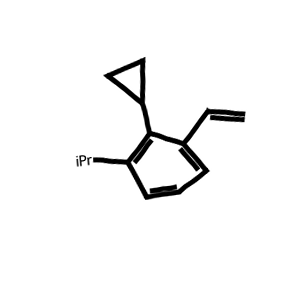 C=[C]c1cccc(C(C)C)c1C1CC1